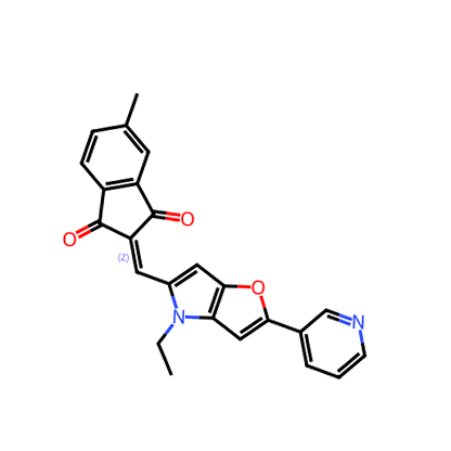 CCn1c(/C=C2/C(=O)c3ccc(C)cc3C2=O)cc2oc(-c3cccnc3)cc21